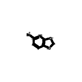 Brc1ccc2c(n1)OCO2